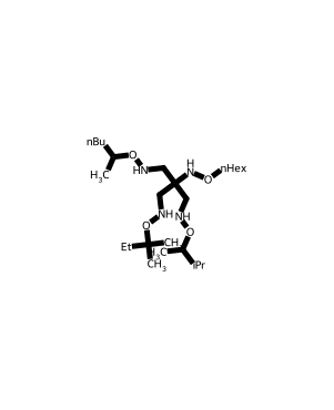 CCCCCCONC(CNOC(C)CCCC)(CNOC(C)C(C)C)CNOC(C)(C)CC